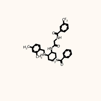 Cc1ccc(CNC2CCCCC2NC(=O)CNC(=O)c2cccc(C(F)(F)F)c2)c(C)c1.NC(=O)c1ccccc1